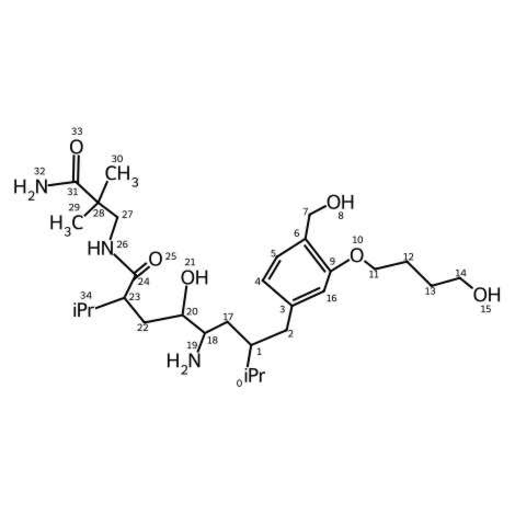 CC(C)C(Cc1ccc(CO)c(OCCCCO)c1)CC(N)C(O)CC(C(=O)NCC(C)(C)C(N)=O)C(C)C